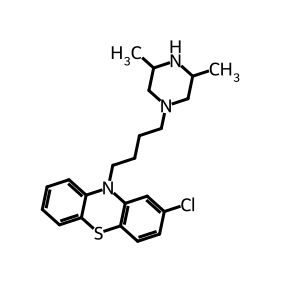 CC1CN(CCCCN2c3ccccc3Sc3ccc(Cl)cc32)CC(C)N1